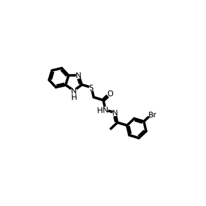 C/C(=N\NC(=O)CSc1nc2ccccc2[nH]1)c1cccc(Br)c1